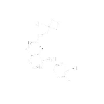 CC1(COc2ncc3ncnc(Nc4ccc(F)c(Cl)c4)c3n2)COC1